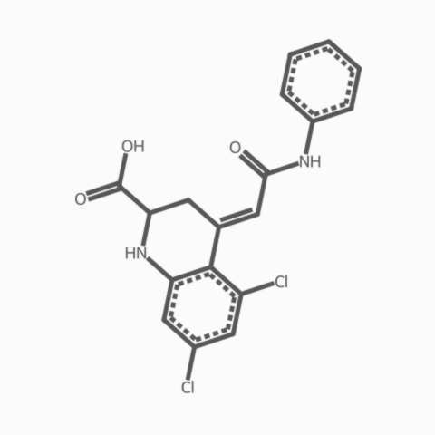 O=C(/C=C1\CC(C(=O)O)Nc2cc(Cl)cc(Cl)c21)Nc1ccccc1